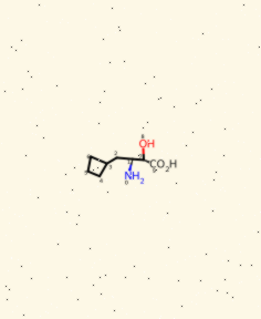 N[C@@H](CC1CCC1)[C@@H](O)C(=O)O